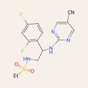 CCS(=O)(=O)NCC(Nc1ncc(C#N)cn1)c1ccc(F)cc1F